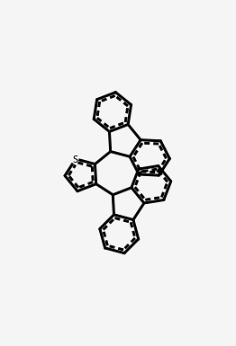 c1ccc2c(c1)-c1ccccc1C2c1ccsc1C1c2ccccc2-c2ccccc21